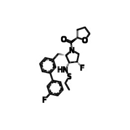 CCSN[C@H]1[C@@H](F)CN(C(=O)[C@H]2CCCO2)[C@H]1Cc1cccc(-c2cccc(F)c2)c1